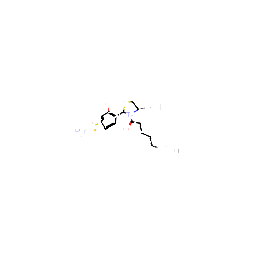 NS(=O)(=O)c1ccc(C2SC[C@@H](C(=O)O)N2C(=O)CCCCC(=O)O)c(O)c1